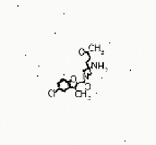 CC(=O)CCC1(N)CN(C(=O)c2oc3ccc(Cl)cc3c2C)C1